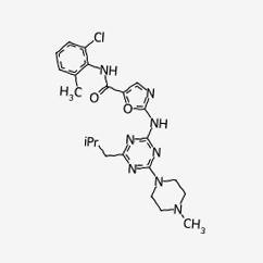 Cc1cccc(Cl)c1NC(=O)c1cnc(Nc2nc(CC(C)C)nc(N3CCN(C)CC3)n2)o1